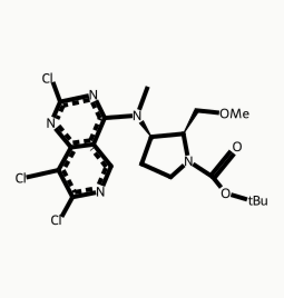 COC[C@@H]1[C@H](N(C)c2nc(Cl)nc3c(Cl)c(Cl)ncc23)CCN1C(=O)OC(C)(C)C